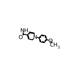 COc1ccc(N2C=CC(C(N)=O)=CC2)cc1